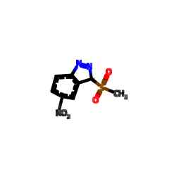 CS(=O)(=O)[C]1N=Nc2ccc([N+](=O)[O-])cc21